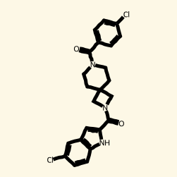 O=C(c1ccc(Cl)cc1)N1CCC2(CC1)CN(C(=O)c1cc3cc(Cl)ccc3[nH]1)C2